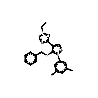 CCn1nnc(-c2cnn(-c3cc(C)cc(C)c3)c2SCc2ccccc2)n1